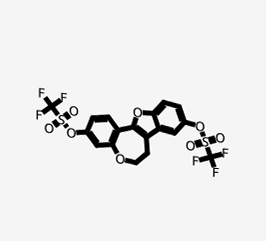 O=S(=O)(Oc1ccc2c(c1)OCCc1c-2oc2ccc(OS(=O)(=O)C(F)(F)F)cc12)C(F)(F)F